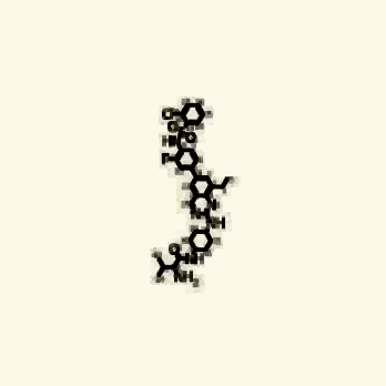 CCc1cc(-c2ccc(NS(=O)(=O)c3ccccc3Cl)c(F)c2)cc2cnc(N[C@H]3CC[C@H](NC(=O)[C@@H](N)C(C)C)CC3)nc12